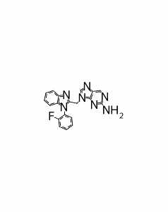 Nc1ncc2ncn(Cc3nc4ccccc4n3-c3ccccc3F)c2n1